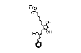 CC(C)OC(=O)CCCCCC[C@@H]1[C@@H](CC[C@@H](O)CCc2ccccc2)[C@H](O)C[C@@H]1O